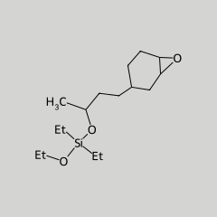 CCO[Si](CC)(CC)OC(C)CCC1CCC2OC2C1